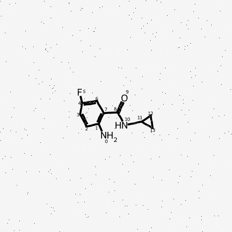 Nc1ccc(F)cc1C(=O)NC1CC1